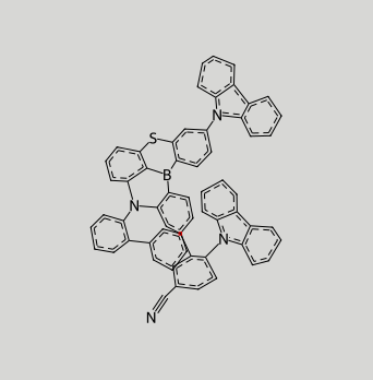 N#Cc1ccc(-n2c3ccccc3c3ccccc32)c(-c2ccc3c(c2)N(c2ccccc2-c2ccccc2)c2cccc4c2B3c2ccc(-n3c5ccccc5c5ccccc53)cc2S4)c1